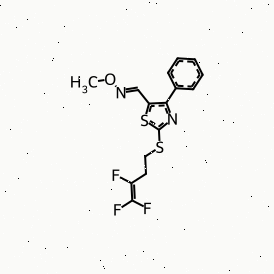 CO/N=C/c1sc(SCCC(F)=C(F)F)nc1-c1ccccc1